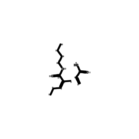 C=CC(=O)O.CCC=C(C)C(=O)OCCCC